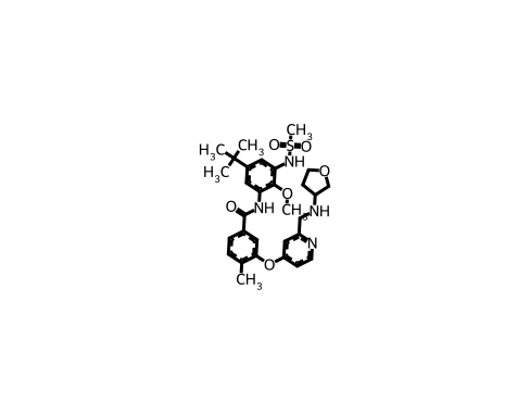 COc1c(NC(=O)c2ccc(C)c(Oc3ccnc(CNC4CCOC4)c3)c2)cc(C(C)(C)C)cc1NS(C)(=O)=O